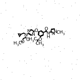 COCC(=O)N(CC1CC1)c1cnc(Oc2cc(OC(C)C)cc(C(=O)Nc3ccn(C)n3)c2)cn1